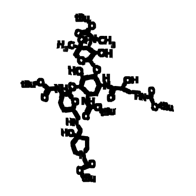 CN(C(=O)OC(C)(C)C)[C@@H]1[C@@H](O)[C@@H](O[C@@H]2[C@@H](O)[C@H](O[C@H]3OC(CNCC4(O)CCN(C(=O)OC(C)(C)C)CC4)=CC[C@H]3NC(=O)OC(C)(C)C)[C@@H](NC(=O)OC(C)(C)C)C[C@H]2NC(=O)[C@@H](O)CCNC(=O)OC(C)(C)C)OC[C@]1(C)O